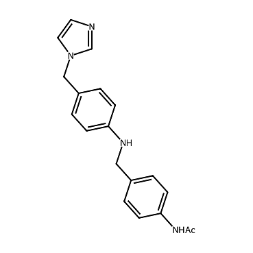 CC(=O)Nc1ccc(CNc2ccc(Cn3ccnc3)cc2)cc1